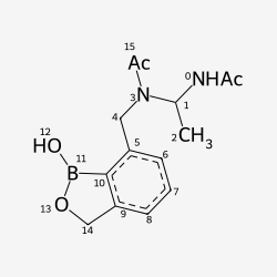 CC(=O)NC(C)N(Cc1cccc2c1B(O)OC2)C(C)=O